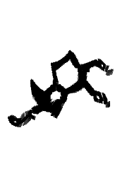 CC1c2nc(C=O)cn2CCN1C